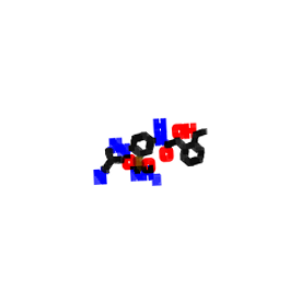 CCc1ccccc1C(O)C(=O)Nc1ccc(-n2cc(C#N)cn2)c(S(N)(=O)=O)c1